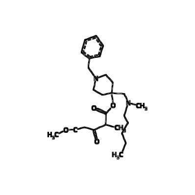 CCCCCN(C)CC1(OC(=O)C(C)C(=O)CCOC)CCN(Cc2ccccc2)CC1